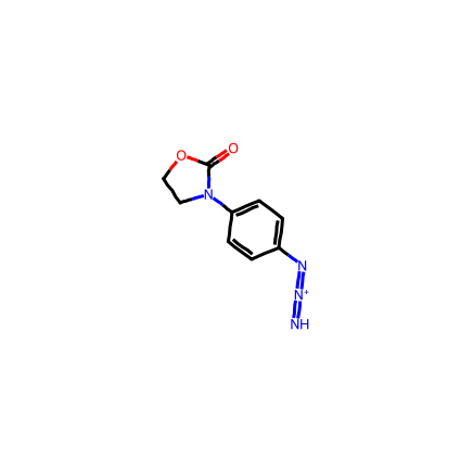 N=[N+]=Nc1ccc(N2CCOC2=O)cc1